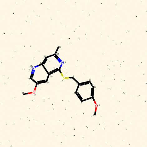 COc1ccc(CSc2nc(C)cc3ncc(OC)cc23)cc1